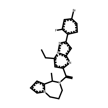 C=C(c1cc(CC)n2nc(-c3ccc(Br)cc3F)cc2n1)N1CCCn2cccc2C1C